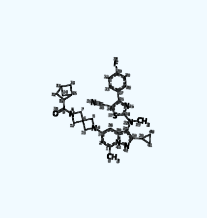 Cc1cc(N2CC3(CN(C(=O)C4CC5CC4C5)C3)C2)cc2c(N(C)c3nc(-c4ccc(F)cc4)c(C#N)s3)c(C3CC3)nn12